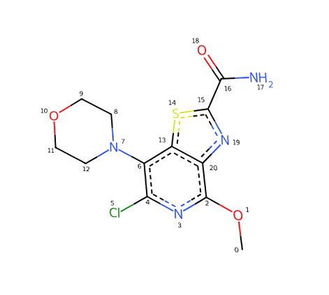 COc1nc(Cl)c(N2CCOCC2)c2sc(C(N)=O)nc12